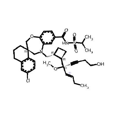 CC/C=C/[C@@](C#CCCO)(OC)[C@@H]1CC[C@H]1CN1C[C@@]2(CCCc3cc(Cl)ccc32)COc2ccc(C(=O)NS(=O)(=O)C(C)C)cc21